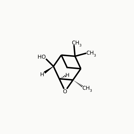 CC1(C)C2CC1[C@@]1(C)O[C@H]1[C@@H]2O